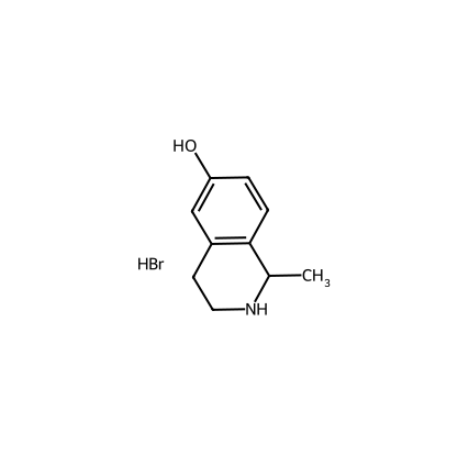 Br.CC1NCCc2cc(O)ccc21